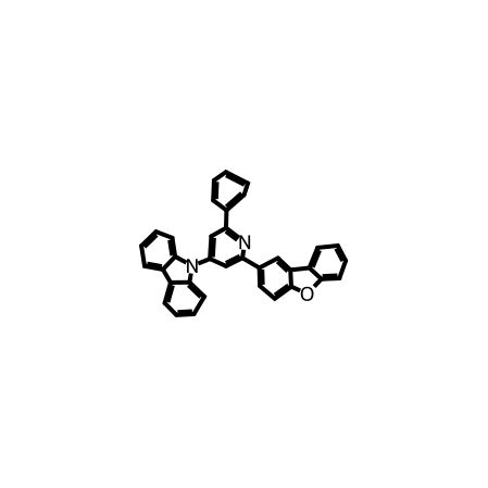 c1ccc(-c2cc(-n3c4ccccc4c4ccccc43)cc(-c3ccc4oc5ccccc5c4c3)n2)cc1